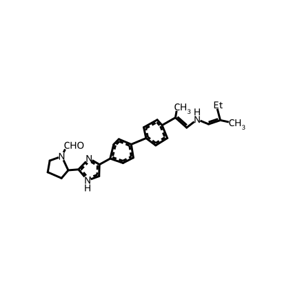 CC/C(C)=C\N/C=C(\C)c1ccc(-c2ccc(-c3c[nH]c(C4CCCN4C=O)n3)cc2)cc1